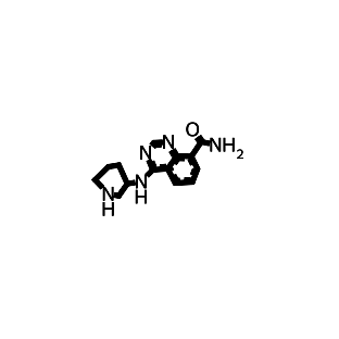 NC(=O)c1cccc2c(NC3CCCNC3)ncnc12